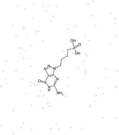 Nc1nc2c(nnn2CCCCP(=O)(O)O)c(=O)[nH]1